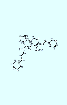 COc1c(OCc2ccccc2)ccc2c1N=C(NCCCN1CCOCC1)N1CCN=C21